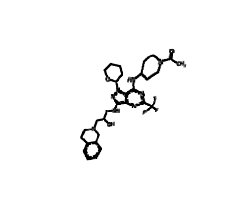 CC(=O)N1CCC(Nc2nc(C(F)(F)F)nc3c(NCC(O)CN4CCc5ccccc5C4)nn([C@@H]4CCCCO4)c23)CC1